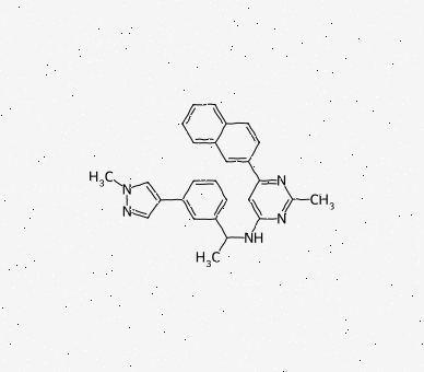 Cc1nc(NC(C)c2cccc(-c3cnn(C)c3)c2)cc(-c2ccc3ccccc3c2)n1